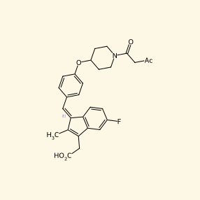 CC(=O)CC(=O)N1CCC(Oc2ccc(/C=C3/C(C)=C(CC(=O)O)c4cc(F)ccc43)cc2)CC1